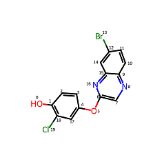 Oc1ccc(Oc2cnc3ccc(Br)cc3n2)cc1Cl